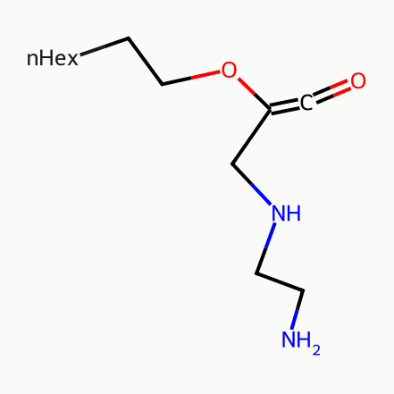 CCCCCCCCOC(=C=O)CNCCN